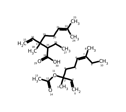 C=CC(C)(CC/C=C(/C)CC)OC(C)=O.C=CC(C)(CCC=C(C)C)C(CC)C(=O)O